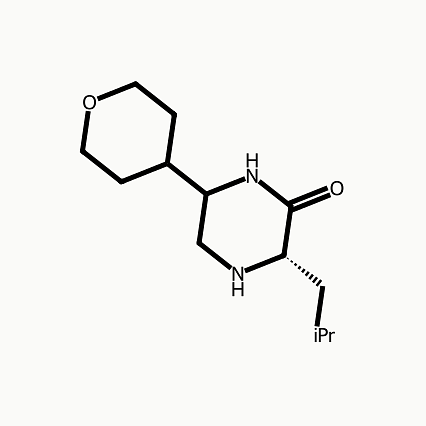 CC(C)C[C@@H]1NCC(C2CCOCC2)NC1=O